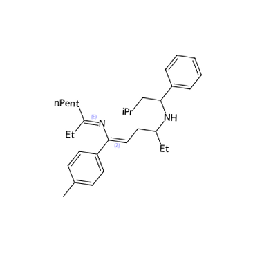 CCCCC/C(CC)=N/C(=C\CC(CC)NC(CC(C)C)c1ccccc1)c1ccc(C)cc1